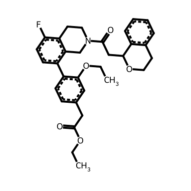 CCOC(=O)Cc1ccc(-c2ccc(F)c3c2CN(C(=O)CC2OCCc4ccccc42)CC3)c(OCC)c1